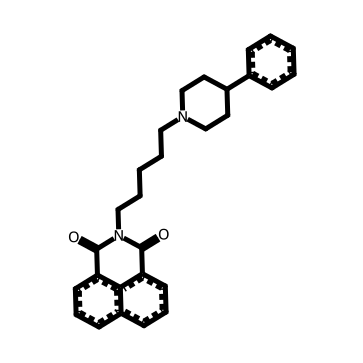 O=C1c2cccc3cccc(c23)C(=O)N1CCCCCN1CCC(c2ccccc2)CC1